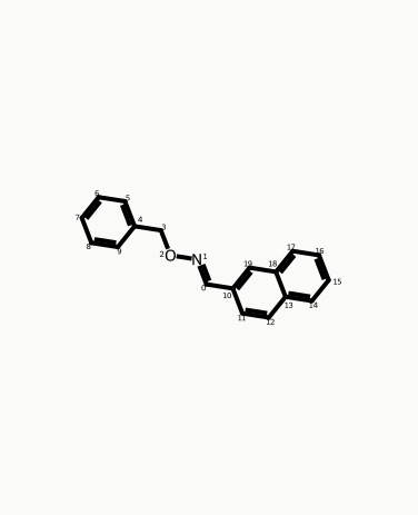 C(=NOCc1ccccc1)c1ccc2ccccc2c1